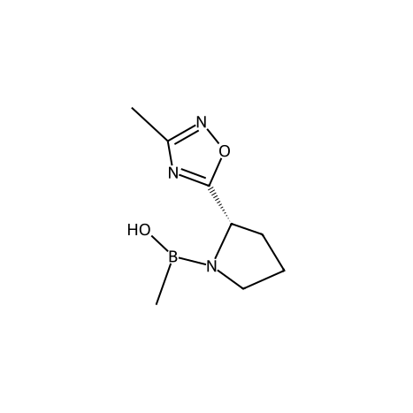 CB(O)N1CCC[C@H]1c1nc(C)no1